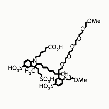 COCCNc1ccc(S(=O)(=O)O)cc1C(C)(C/C=C/C=C/C=C1/N(CCCCCC(=O)O)c2ccc(S(=O)(=O)O)cc2C1(C)CCCS(=O)(=O)O)CCOCCOCCOCCOCCOCCOC